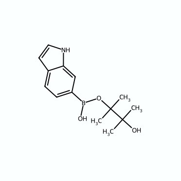 CC(C)(O)C(C)(C)OB(O)c1ccc2cc[nH]c2c1